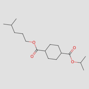 CC(C)CCCOC(=O)C1CCC(C(=O)OC(C)C)CC1